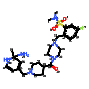 CN(C)S(=O)(=O)c1cc(F)ccc1CN1CCN(C(=O)C2CCN(CC3=CC(C)(N)NC=C3)CC2)CC1